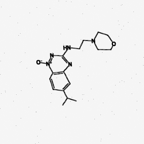 CC(C)c1ccc2c(c1)nc(NCCN1CCOCC1)n[n+]2[O-]